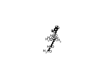 C=C(NC(=O)OCc1cc2c(cc1N=O)OCO2)NC(C)C(CCCCC(=O)NCCC(C)=O)SCC